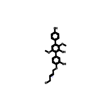 COc1cc(-c2ccc(O)cc2)c(OC)c(O)c1-c1ccc(OC/C=C/CCl)c(O)c1